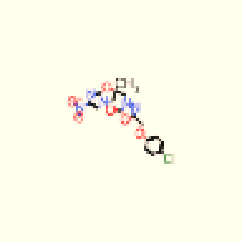 CC1(Cn2nc(COc3ccc(Cl)cc3)oc2=O)Cn2cc([N+](=O)[O-])nc2O1